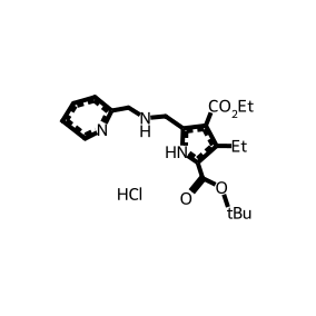 CCOC(=O)c1c(CNCc2ccccn2)[nH]c(C(=O)OC(C)(C)C)c1CC.Cl